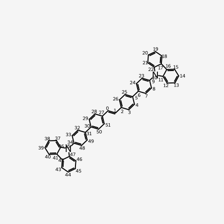 C(=C\c1ccc(-c2ccc(-n3c4ccccc4c4ccccc43)cc2)cc1)/c1ccc(-c2ccc(-n3c4ccccc4c4ccccc43)cc2)cc1